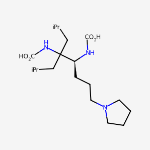 CC(C)CC(CC(C)C)(NC(=O)O)[C@H](CCCN1CCCC1)NC(=O)O